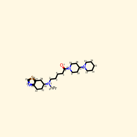 CCCN(CCCCC(=O)N1CCC(N2CCCCC2)CC1)C1CCc2ncsc2C1